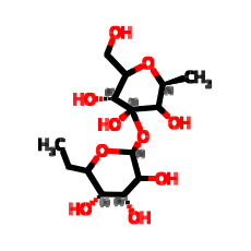 CCC1O[C@@H](O[C@@]2(O)C(O)[C@H](C)OC(CO)[C@H]2O)C(O)[C@H](O)[C@@H]1O